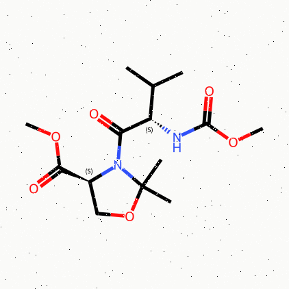 COC(=O)N[C@H](C(=O)N1[C@H](C(=O)OC)COC1(C)C)C(C)C